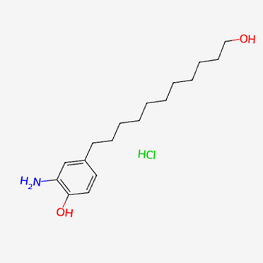 Cl.Nc1cc(CCCCCCCCCCCO)ccc1O